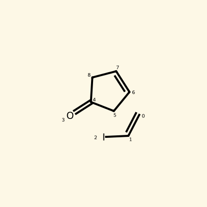 C=CI.O=C1CC=CC1